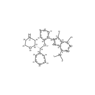 Cc1nnc(N(C)C)c2nn(-c3ccccc3OC(c3ccccc3)[C@H]3CNCCO3)c(C)c12